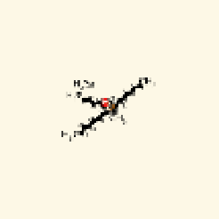 CCCCCCCCS(C)(O)(CC)(CCCCCC)CCCCCCCC.[SnH2]